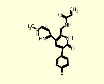 C=CC(=O)NCc1[nH]c(=O)c(-c2ccc(F)cc2)cc1C(=N)/C=C\NC